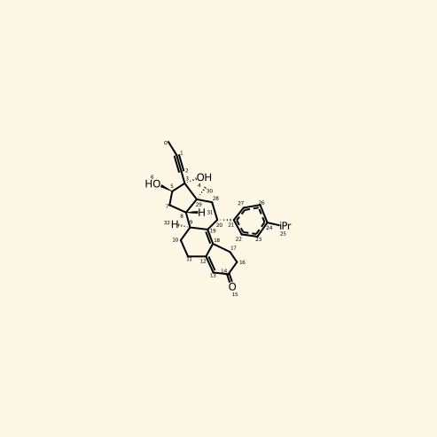 CC#C[C@]1(O)[C@H](O)C[C@H]2[C@@H]3CCC4=CC(=O)CCC4=C3[C@@H](c3ccc(C(C)C)cc3)C[C@@]21C